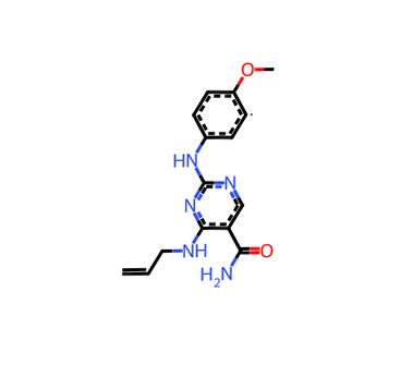 C=CCNc1nc(Nc2c[c]c(OC)cc2)ncc1C(N)=O